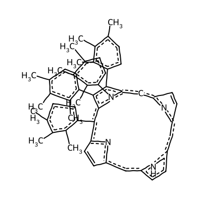 Cc1ccc(-c2c(-c3ccc(C)c(C)c3C)c3c(-c4ccc(C)c(C)c4C)c4nc(cc5ccc(cc6nc(cc2n3-c2ccc(C)c(C)c2C)C=C6)[nH]5)C=C4)c(C)c1C